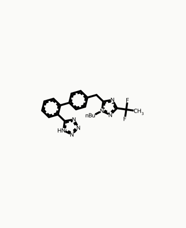 CCCCn1nc(C(C)(F)F)nc1Cc1ccc(-c2ccccc2-c2nnn[nH]2)cc1